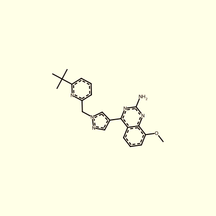 COc1cccc2c(-c3cnn(Cc4cccc(C(C)(C)C)n4)c3)nc(N)nc12